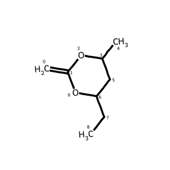 C=C1OC(C)CC(CC)O1